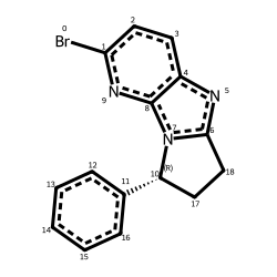 Brc1ccc2nc3n(c2n1)[C@@H](c1ccccc1)CC3